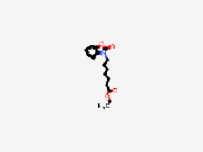 CCOC(=O)CCCCCCn1c(=O)oc2ccccc21